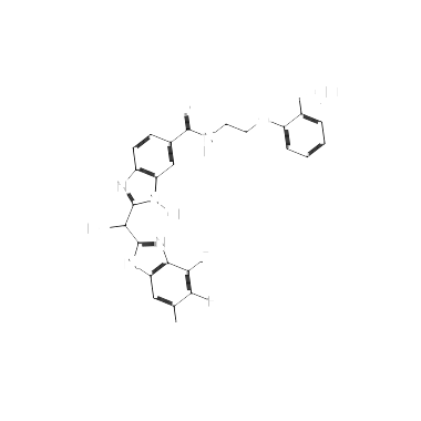 CCOC(=O)c1ccccc1OCCNC(=O)c1ccc2nc(C(C)c3nc4c(F)c(F)c(F)cc4[nH]3)n(C)c2c1